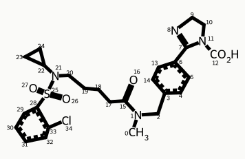 CN(Cc1ccc(C2=NCCN2C(=O)O)cc1)C(=O)CCCCN(C1CC1)S(=O)(=O)c1ccccc1Cl